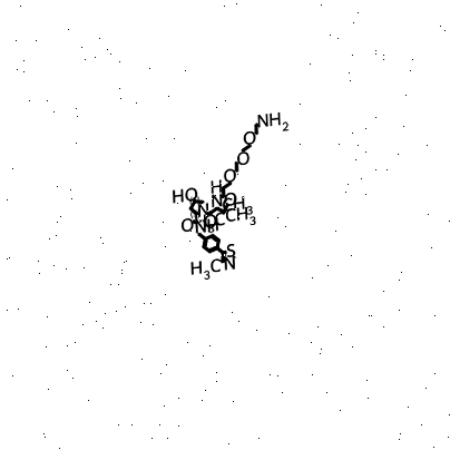 Cc1ncsc1-c1ccc(CNC(=O)[C@@H]2C[C@H](O)CN2C(=O)C(NC(=O)CCOCCOCCOCCN)C(C)(C)C)cc1